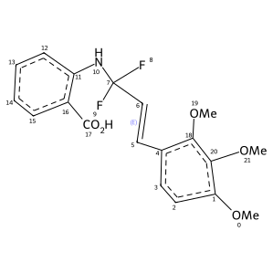 COc1ccc(/C=C/C(F)(F)Nc2ccccc2C(=O)O)c(OC)c1OC